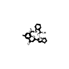 Cc1cc([C@@H](C)Nc2ccccc2C(=O)O)c2oc(-c3cc4n(n3)CCC4)cc(=O)c2c1